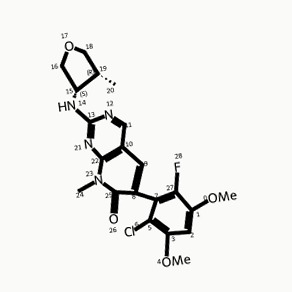 COc1cc(OC)c(Cl)c(-c2cc3cnc(N[C@@H]4COC[C@@H]4C)nc3n(C)c2=O)c1F